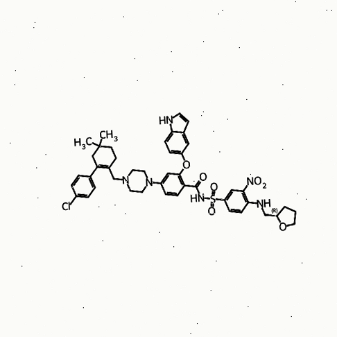 CC1(C)CCC(CN2CCN(c3ccc(C(=O)NS(=O)(=O)c4ccc(NC[C@H]5CCCO5)c([N+](=O)[O-])c4)c(Oc4ccc5[nH]ccc5c4)c3)CC2)=C(c2ccc(Cl)cc2)C1